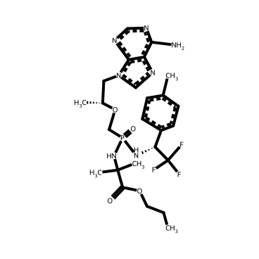 CCCOC(=O)C(C)(C)NP(=O)(CO[C@H](C)Cn1cnc2c(N)ncnc21)N[C@H](c1ccc(C)cc1)C(F)(F)F